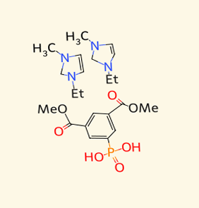 CCN1C=CN(C)C1.CCN1C=CN(C)C1.COC(=O)c1cc(C(=O)OC)cc(P(=O)(O)O)c1